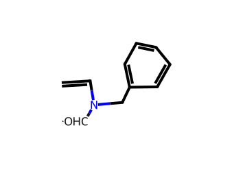 C=CN([C]=O)Cc1ccccc1